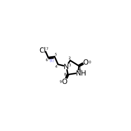 O=C1CN(C/C=C/Cl)C(=O)N1